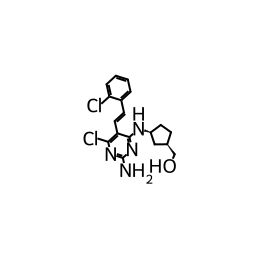 Nc1nc(Cl)c(/C=C/c2ccccc2Cl)c(N[C@H]2CC[C@@H](CO)C2)n1